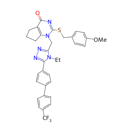 CCn1c(Cn2c(SCc3ccc(OC)cc3)nc(=O)c3c2CCC3)nnc1-c1ccc(-c2ccc(C(F)(F)F)cc2)cc1